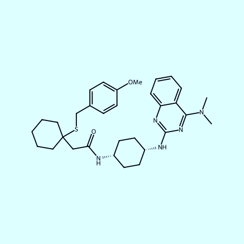 COc1ccc(CSC2(CC(=O)N[C@H]3CC[C@@H](Nc4nc(N(C)C)c5ccccc5n4)CC3)CCCCC2)cc1